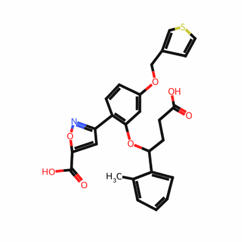 Cc1ccccc1C(CCC(=O)O)Oc1cc(OCc2ccsc2)ccc1-c1cc(C(=O)O)on1